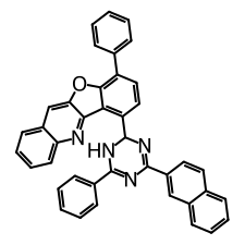 c1ccc(C2=NC(c3ccc4ccccc4c3)=NC(c3ccc(-c4ccccc4)c4oc5cc6ccccc6nc5c34)N2)cc1